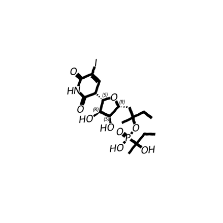 CCC(C)(C[C@H]1O[C@@H](C2C=C(I)C(=O)NC2=O)[C@H](O)[C@@H]1O)OP(=O)(O)C(C)(O)CC